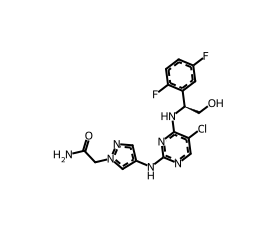 NC(=O)Cn1cc(Nc2ncc(Cl)c(N[C@H](CO)c3cc(F)ccc3F)n2)cn1